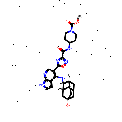 CC(C)(C)OC(=O)N1CCC(NC(=O)c2noc(-c3cnc4[nH]ccc4c3N[C@H]3[C@@H]4CC5C[C@H]3C[C@@](O)(C5)C4)n2)CC1